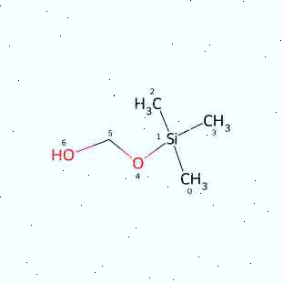 C[Si](C)(C)OCO